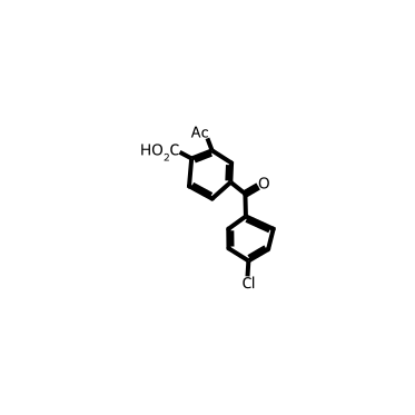 CC(=O)c1cc(C(=O)c2ccc(Cl)cc2)ccc1C(=O)O